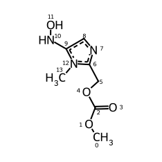 COC(=O)OCc1ncc(NO)n1C